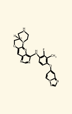 Cc1c(Oc2ccn3ncnc3c2)ccc(Nc2ncnc3cc4c(nc23)N2CCNC[C@H]2CO4)c1F